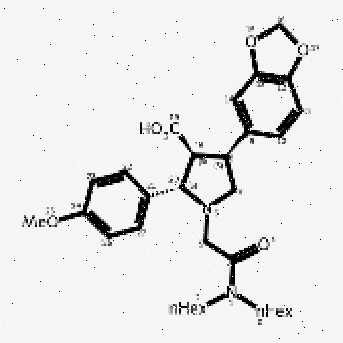 CCCCCCN(CCCCCC)C(=O)CN1C[C@H](c2ccc3c(c2)OCO3)[C@H](C(=O)O)[C@H]1c1ccc(OC)cc1